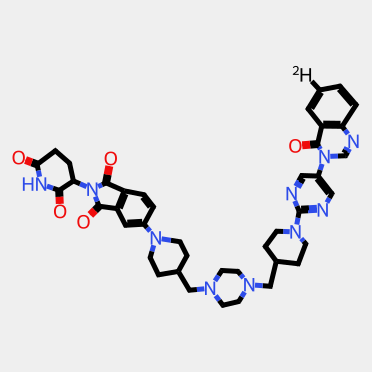 [2H]c1ccc2ncn(-c3cnc(N4CCC(CN5CCN(CC6CCN(c7ccc8c(c7)C(=O)N(C7CCC(=O)NC7=O)C8=O)CC6)CC5)CC4)nc3)c(=O)c2c1